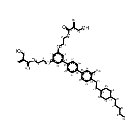 C=C(CO)C(=O)OCCOc1cc(OCCOC(=O)C(=C)CO)cc(-c2ccc(-c3ccc(CCC4CCC(CCCCC)CC4)c(F)c3)cc2)c1